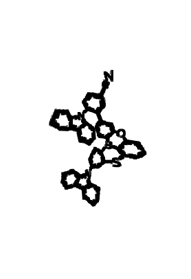 N#Cc1ccc(-n2c3ccccc3c3ccccc32)c(-c2ccc3c(c2)Oc2cccc4c2B3c2ccc(-n3c5ccccc5c5ccccc53)cc2S4)c1